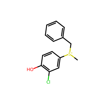 C[S+](Cc1ccccc1)c1ccc(O)c(Cl)c1